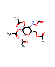 CC(=O)OC[C@H]1O[C@H](OC(C)=O)[C@@H](OC(C)=O)[C@@H](OC(C)=O)[C@@H]1NOC=O